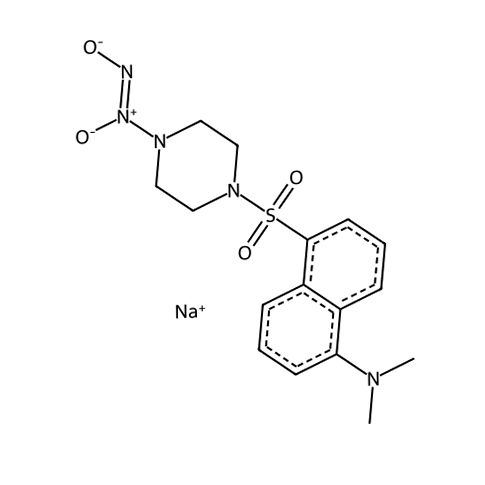 CN(C)c1cccc2c(S(=O)(=O)N3CCN([N+]([O-])=N[O-])CC3)cccc12.[Na+]